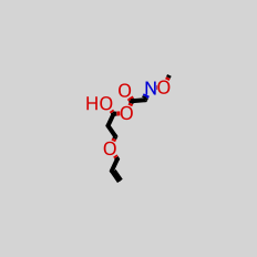 C=CCOCCC(O)OC(=O)C=NOC